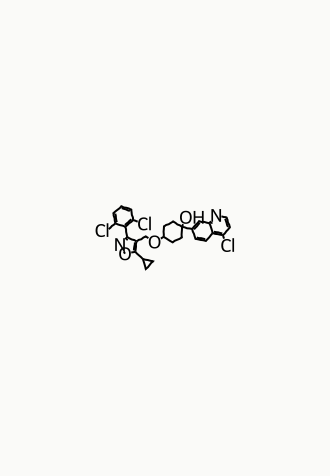 OC1(c2ccc3c(Cl)ccnc3c2)CCC(OCc2c(-c3c(Cl)cccc3Cl)noc2C2CC2)CC1